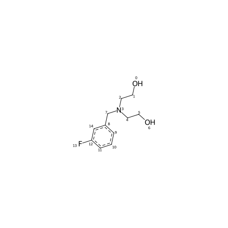 OCCN(CCO)Cc1cccc(F)c1